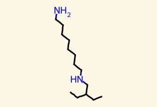 CCC(CC)CNCCCCCCCCN